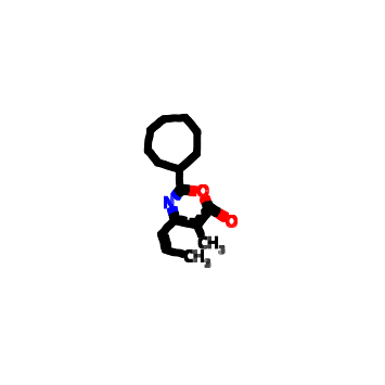 C/C=C\c1nc(C2CCCCCCC2)oc(=O)c1C